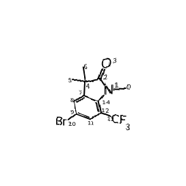 CN1C(=O)C(C)(C)c2cc(Br)cc(C(F)(F)F)c21